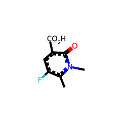 Cc1c(F)cc(C(=O)O)c(=O)n1C